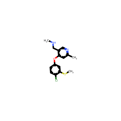 CNCc1cnc(C)cc1Oc1ccc(Cl)c(SC)c1